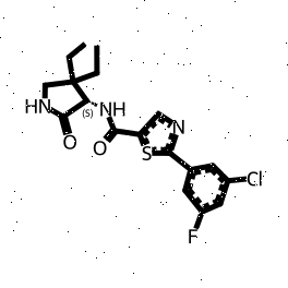 CCC1(CC)CNC(=O)[C@H]1NC(=O)c1cnc(-c2cc(F)cc(Cl)c2)s1